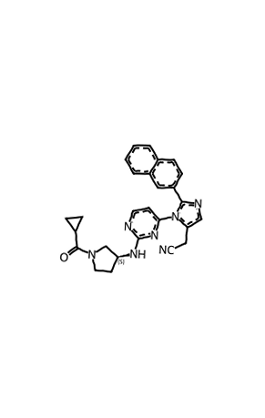 N#CCc1cnc(-c2ccc3ccccc3c2)n1-c1ccnc(N[C@H]2CCN(C(=O)C3CC3)C2)n1